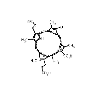 CCCOCc1c(C)c2cc3nc(c(C)c4[nH]c(cc5nc(cc1[nH]2)C(C)=C5CC)c(C)c4C(=O)O)[C@@H](CCC(=O)O)[C@@H]3C